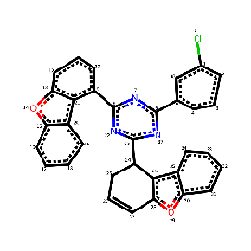 Clc1cccc(-c2nc(-c3cccc4oc5ccccc5c34)nc(C3CC=Cc4oc5ccccc5c43)n2)c1